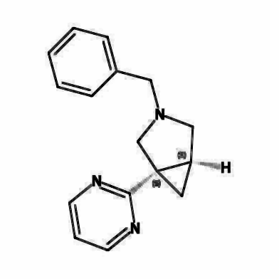 c1ccc(CN2C[C@H]3C[C@@]3(c3ncccn3)C2)cc1